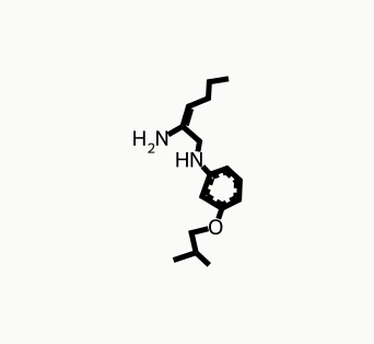 CCC/C=C(/N)CNc1cccc(OCC(C)C)c1